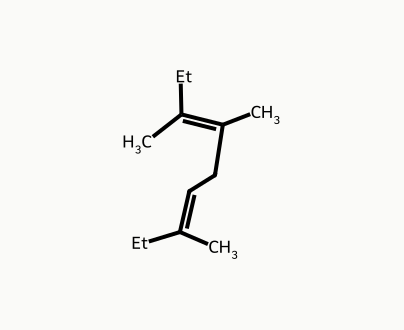 CCC(C)=CCC(C)=C(C)CC